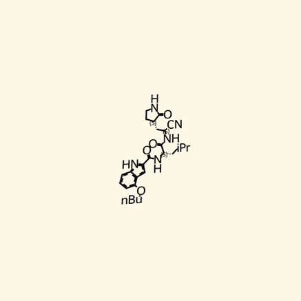 CCCCOc1cccc2[nH]c(C(=O)N[C@@H](CC(C)C)C(=O)N[C@H](C#N)C[C@@H]3CCNC3=O)cc12